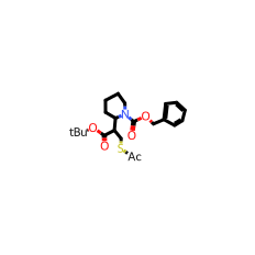 CC(=O)SCC(C(=O)OC(C)(C)C)C1CCCCN1C(=O)OCc1ccccc1